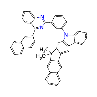 CC1(C)c2cc3ccccc3cc2-c2cc3c4ccccc4n(-c4cccc(-c5nc(-c6ccc7ccccc7c6)c6ccccc6n5)c4)c3cc21